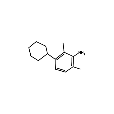 Cc1ccc(C2CCCCC2)c(C)c1N